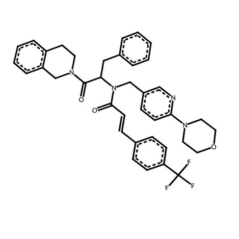 O=C(C(Cc1ccccc1)N(Cc1ccc(N2CCOCC2)nc1)C(=O)C=Cc1ccc(C(F)(F)F)cc1)N1CCc2ccccc2C1